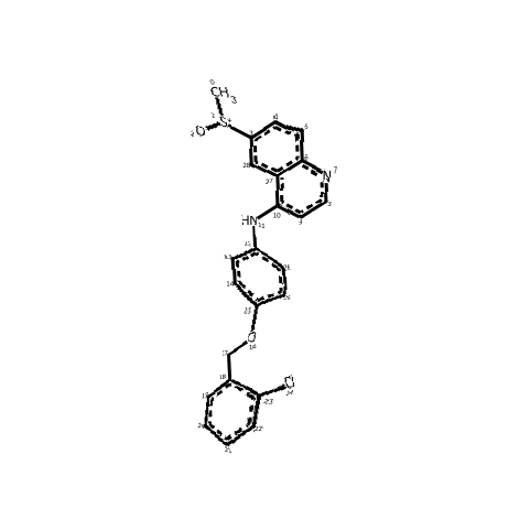 C[S+]([O-])c1ccc2nccc(Nc3ccc(OCc4ccccc4Cl)cc3)c2c1